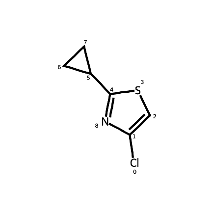 Clc1csc(C2CC2)n1